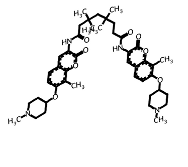 Cc1c(OC2CCN(C)CC2)ccc2cc(NC(=O)CCC(C)(C)CC(C)(C)CC(=O)Nc3cc4ccc(OC5CCN(C)CC5)c(C)c4oc3=O)c(=O)oc12